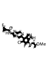 CO[C@H](C)[C@@H](C)N(C)c1c(F)c(Cl)c(-c2cn3cc(NC(=O)C4CC4F)nc3cn2)c2cn[nH]c12